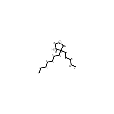 CCCCCCCC1(CCCCC)COCN1